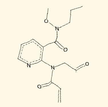 C=CC(=O)N(C[C]=O)c1ncccc1C(=O)N(CCC)OC